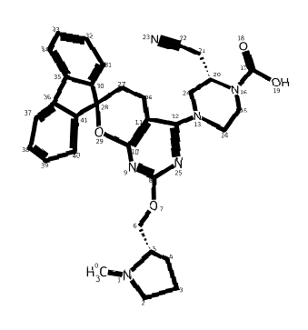 CN1CCC[C@H]1COc1nc2c(c(N3CCN(C(=O)O)[C@@H](CC#N)C3)n1)CCC1(O2)c2ccccc2-c2ccccc21